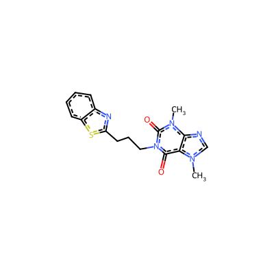 Cn1cnc2c1c(=O)n(CCCc1nc3ccccc3s1)c(=O)n2C